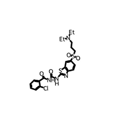 CCN(CC)CCCS(=O)(=O)c1ccc2nc(NC(=O)NC(=O)c3ccccc3Cl)sc2c1